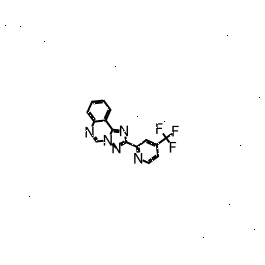 FC(F)(F)c1ccnc(-c2nc3c4ccccc4ncn3n2)c1